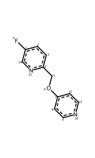 Fc1ccc(COc2ccncc2)nc1